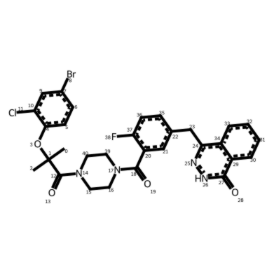 CC(C)(Oc1ccc(Br)cc1Cl)C(=O)N1CCN(C(=O)c2cc(Cc3n[nH]c(=O)c4ccccc34)ccc2F)CC1